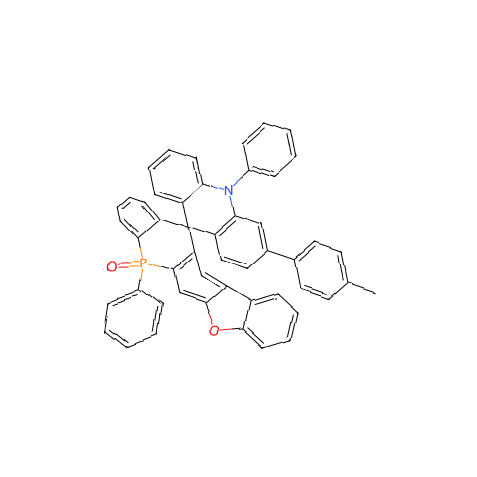 Cc1ccc(-c2ccc3c(c2)N(c2ccccc2)c2ccccc2C32c3ccccc3P(=O)(c3ccccc3)c3cc4oc5ccccc5c4cc32)cc1